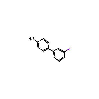 Bc1ccc(-c2cccc(I)c2)cc1